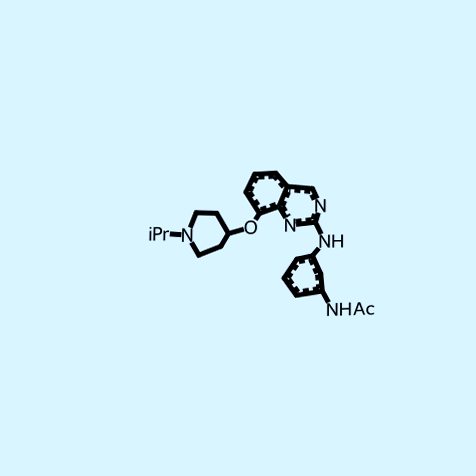 CC(=O)Nc1cccc(Nc2ncc3cccc(OC4CCN(C(C)C)CC4)c3n2)c1